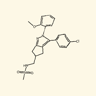 COc1ccccc1-n1nc2c(c1-c1ccc(Cl)cc1)CC(CNS(C)(=O)=O)C2